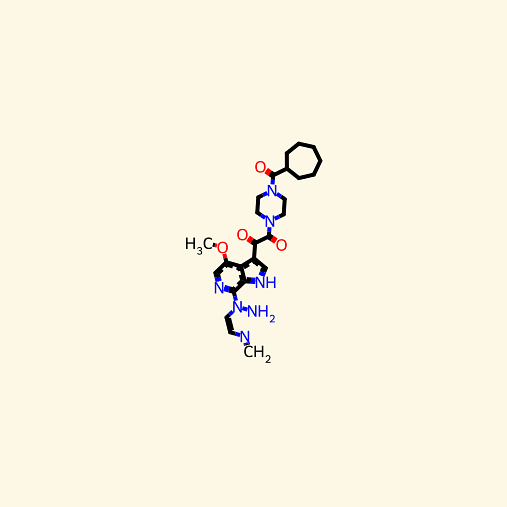 C=N/C=C\N(N)c1ncc(OC)c2c(C(=O)C(=O)N3CCN(C(=O)C4CCCCCC4)CC3)c[nH]c12